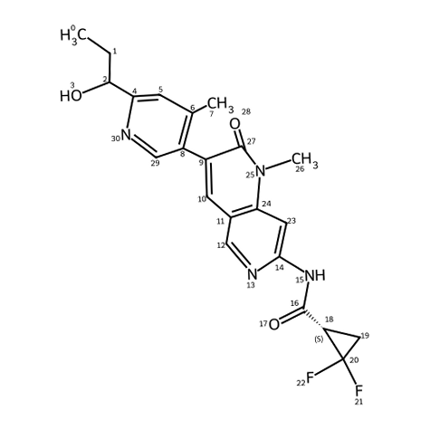 CCC(O)c1cc(C)c(-c2cc3cnc(NC(=O)[C@@H]4CC4(F)F)cc3n(C)c2=O)cn1